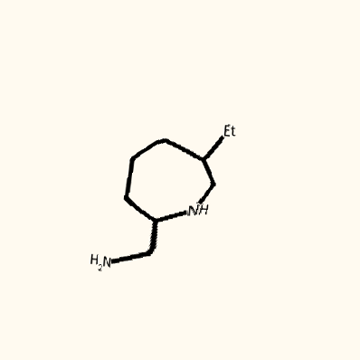 CCC1CCCC(CN)NC1